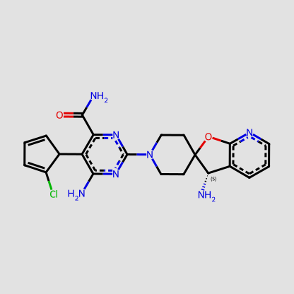 NC(=O)c1nc(N2CCC3(CC2)Oc2ncccc2[C@@H]3N)nc(N)c1C1C=CC=C1Cl